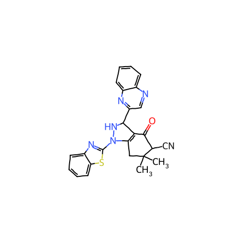 CC1(C)CC2=C(C(=O)C1C#N)C(c1cnc3ccccc3n1)NN2c1nc2ccccc2s1